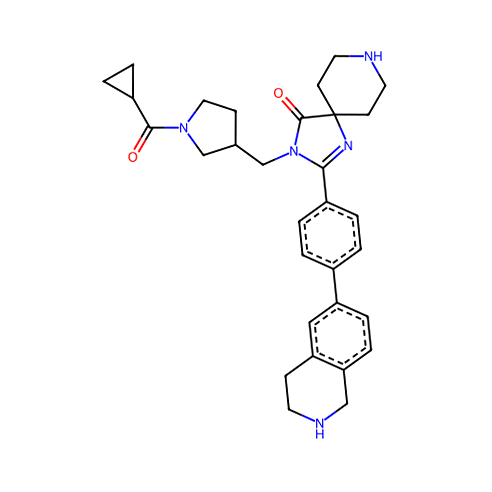 O=C(C1CC1)N1CCC(CN2C(=O)C3(CCNCC3)N=C2c2ccc(-c3ccc4c(c3)CCNC4)cc2)C1